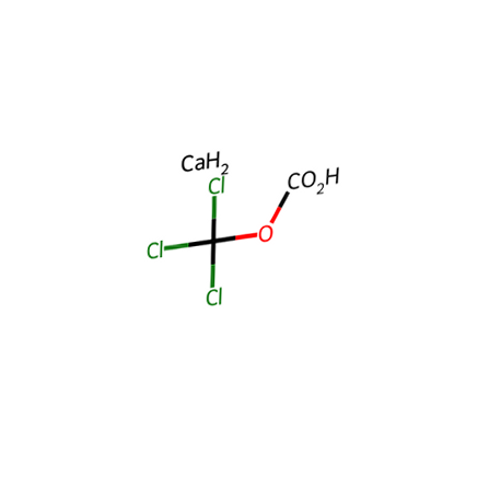 O=C(O)OC(Cl)(Cl)Cl.[CaH2]